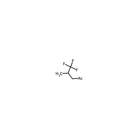 CC(=O)CC(C)C(F)(F)F